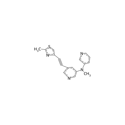 Cc1nc(C#Cc2cncc(N(C)c3cccnc3)c2)cs1